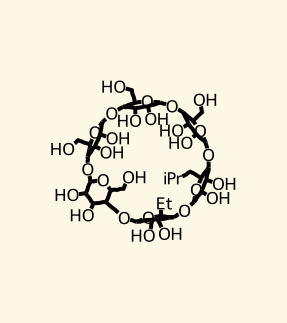 CCC1OC2OC3C(CO)OC(OC4C(CO)OC(OC5C(CO)OC(OC6C(CO)OC(OC7C(CC(C)C)OC(OC1C(O)C2O)C(O)C7O)C(O)C6O)C(O)C5O)C(O)C4O)C(O)C3O